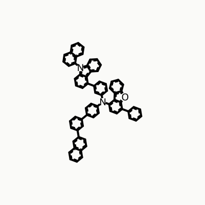 c1ccc(-c2ccc(N(c3ccc(-c4cccc(-c5ccc6ccccc6c5)c4)cc3)c3cccc(-c4cccc5c4c4ccccc4n5-c4cccc5ccccc45)c3)c3c2oc2ccccc23)cc1